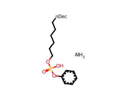 CCCCCCCCCCCCCCCCOP(=O)(O)Oc1ccccc1.[AlH3]